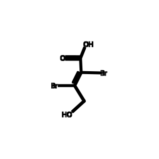 O=C(O)C(Br)=C(Br)CO